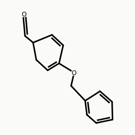 O=CC1C=CC(OCc2ccccc2)=CC1